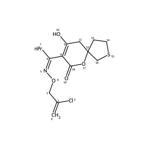 C=C(Cl)CO/N=C(/CCC)C1=C(O)CC2(CCSC2)OC1=O